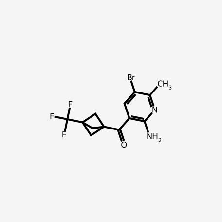 Cc1nc(N)c(C(=O)C23CC(C(F)(F)F)(C2)C3)cc1Br